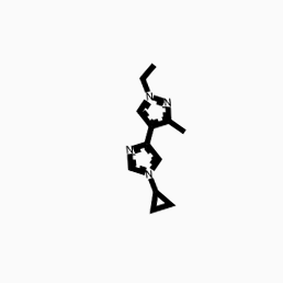 CCn1cc(-c2cn(C3CC3)cn2)c(C)n1